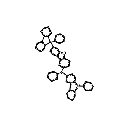 c1ccc(N(c2ccc3oc4cc(C5(c6ccccc6)c6ccccc6-c6ccccc65)ccc4c3c2)c2ccc3c(c2)c2ccccc2n3-c2ccccc2)cc1